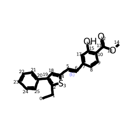 CCc1sc(/C=C/c2ccc(C(=O)OC)c(O)c2)cc1-c1ccccc1